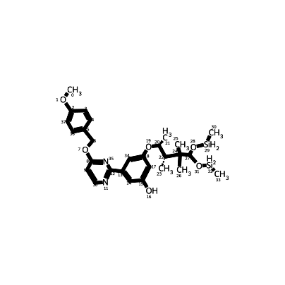 COc1ccc(COc2ccnc(-c3cc(O)cc(O[C@@H](C)[C@@H](C)C(C)(C)C(O[SiH2]C)O[SiH2]C)c3)n2)cc1